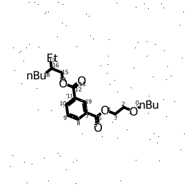 CCCCOCCOC(=O)c1cccc(C(=O)OCC(CC)CCCC)c1